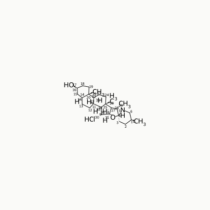 C[C@H]1CC[C@]2(NC1)O[C@H]1C[C@H]3[C@@H]4CC[C@H]5C[C@@H](O)CC[C@]5(C)[C@H]4CC[C@]3(C)[C@H]1[C@@H]2C.Cl